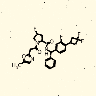 Cc1cnc(CC(=O)N2CC(F)CC2C(=O)NC(c2ccccc2)c2ccc(C3CC(F)(F)C3)c(F)c2)o1